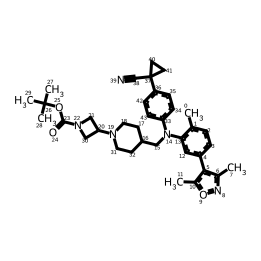 Cc1ccc(-c2c(C)noc2C)cc1N(CC1CCN(C2CN(C(=O)OC(C)(C)C)C2)CC1)c1ccc(C2(C#N)CC2)cc1